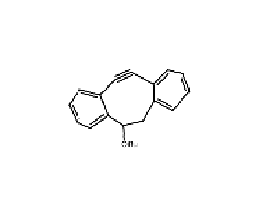 CC(C)COC1Cc2ccccc2C#Cc2ccccc21